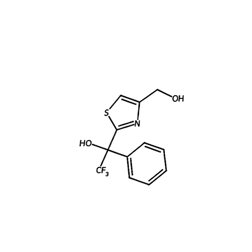 OCc1csc(C(O)(c2ccccc2)C(F)(F)F)n1